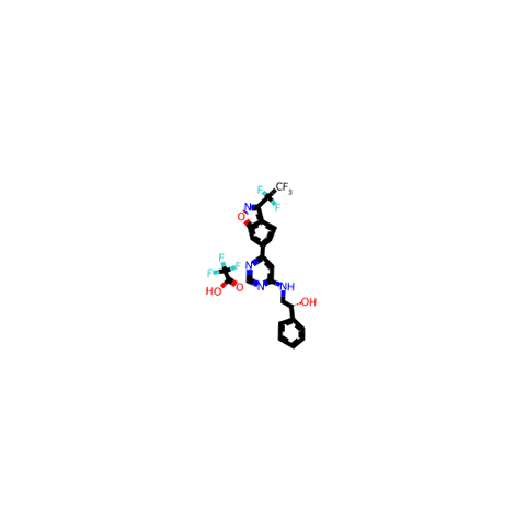 O=C(O)C(F)(F)F.O[C@@H](CNc1cc(-c2ccc3c(C(F)(F)C(F)(F)F)noc3c2)ncn1)c1ccccc1